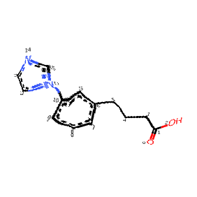 O=C(O)CCCc1cccc(-n2ccnc2)c1